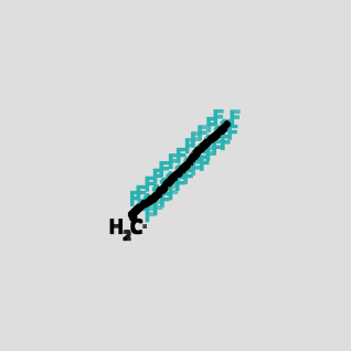 [CH2]CC(F)(F)C(F)(F)C(F)(F)C(F)(F)C(F)(F)C(F)(F)C(F)(F)C(F)(F)C(F)(F)C(F)(F)C(F)(F)C(F)(F)F